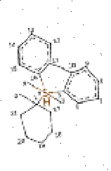 CC1([SH]2(C)(C)c3ccccc3-c3ccccc32)CCCCC1